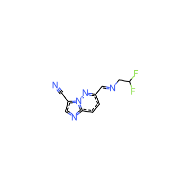 N#Cc1cnc2ccc(/C=N/CC(F)F)nn12